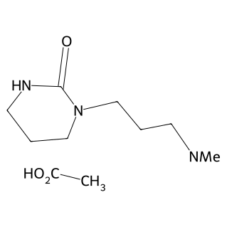 CC(=O)O.CNCCCN1CCCNC1=O